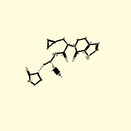 N#C[C@H](C[C@@H]1CCNC1=O)NC(=O)[C@@H](CC1CC1)N1CCc2cc[nH]c2C1=O